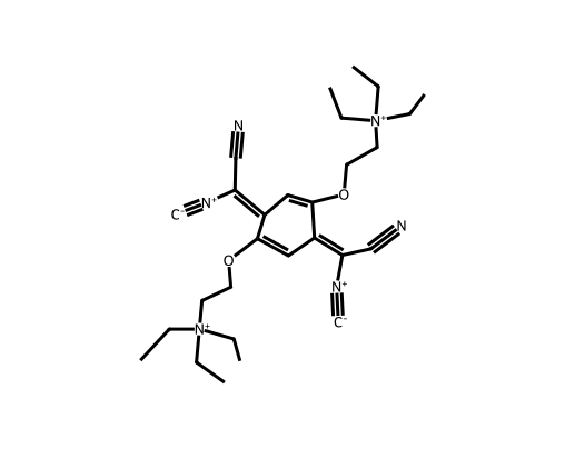 [C-]#[N+]/C(C#N)=c1/cc(OCC[N+](CC)(CC)CC)/c(=C(\C#N)[N+]#[C-])cc1OCC[N+](CC)(CC)CC